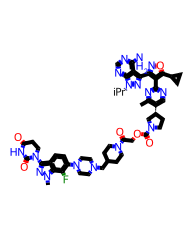 Cc1nc(-c2c(-c3nn(C(C)C)c4ncnc(N)c34)noc2C2CC2)ncc1[C@@H]1CCN(C(=O)OCC(=O)N2CCC(CN3CCN(c4ccc5c(N6CCC(=O)NC6=O)nn(C)c5c4F)CC3)CC2)C1